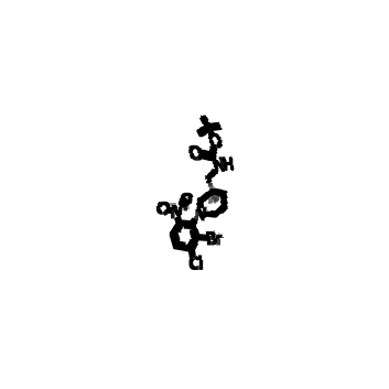 CC(C)(C)OC(=O)NC[C@@H]1CCCN(c2c([N+](=O)[O-])ccc(Cl)c2Br)C1